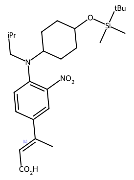 C/C(=C\C(=O)O)c1ccc(N(CC(C)C)C2CCC(O[Si](C)(C)C(C)(C)C)CC2)c([N+](=O)[O-])c1